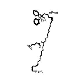 CCCCC/C=C\C/C=C\CCCCCCCCC(CCCCCCCC/C=C\C[C@@H](CCCCC)CC(C)(C)[Si](O)(c1ccccc1)c1ccccc1)OC(=O)CCCN(C)C